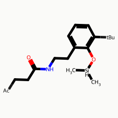 CC(=O)CCC(=O)NCCc1cccc(C(C)(C)C)c1O[SiH](C)C